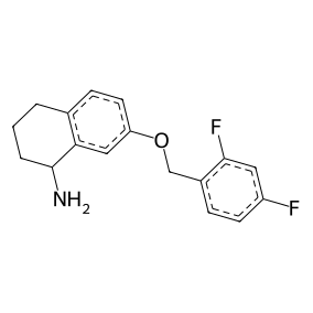 NC1CCCc2ccc(OCc3ccc(F)cc3F)cc21